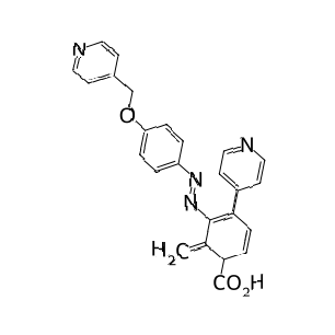 C=C1C(N=Nc2ccc(OCc3ccncc3)cc2)=C(c2ccncc2)C=CC1C(=O)O